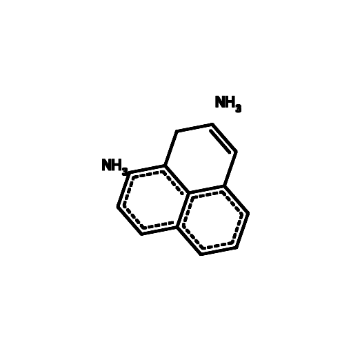 C1=Cc2cccc3cccc(c23)C1.N.N